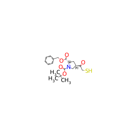 CC(C)(C)OC(=O)N1C[C@H](C(=O)CS)C[C@H]1C(=O)OCc1ccccc1